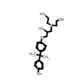 CC(C)(c1ccc(O)cc1)c1ccc(OCC(O)CN(CCO)CCO)cc1